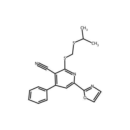 CC(C)SCSc1nc(-c2ncco2)cc(-c2ccccc2)c1C#N